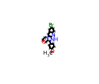 COc1ccc(CNc2nc3ccc(Br)cc3cc2N2CCOCC2)cc1